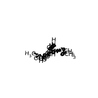 CCCC[C@H](CCO)CNc1ccc(S(=O)(=O)NC(=O)c2ccc(N3CC4(CC(N5CCC[C@H]5c5ccccc5C(C)C)C4)C3)cc2N2CCOc3nc4[nH]ccc4cc32)cc1[N+](=O)[O-]